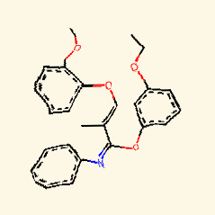 CCOc1cccc(O/C(=N/c2ccccc2)C(C)=COc2ccccc2OC)c1